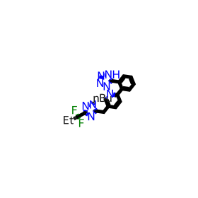 CCCCn1nc(C(F)(F)CC)nc1Cc1ccc(-c2ccccc2-c2nnn[nH]2)nc1